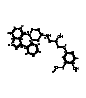 COCc1cc(OCC(O)CNC2CCN(c3ncnc4scc(-c5ccccc5)c34)CC2)ccc1O